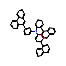 c1cc(-c2cc3ccccc3c3ccccc23)cc(N(c2ccc(-c3cccc4ccccc34)cc2)c2ccccc2-c2cccc3ccccc23)c1